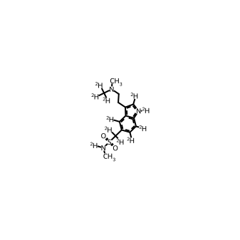 [2H]c1c(C([2H])([2H])S(=O)(=O)N([2H])C)c([2H])c2c(CCN(C)C([2H])([2H])[2H])c([2H])n([2H])c2c1[2H]